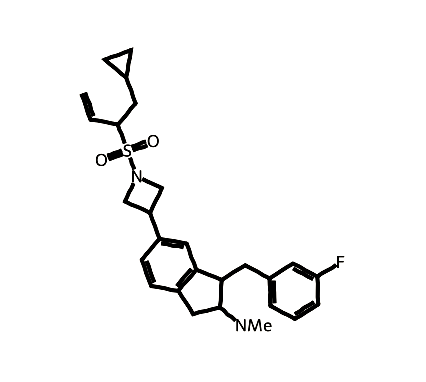 C=CC(CC1CC1)S(=O)(=O)N1CC(c2ccc3c(c2)C(Cc2cccc(F)c2)C(NC)C3)C1